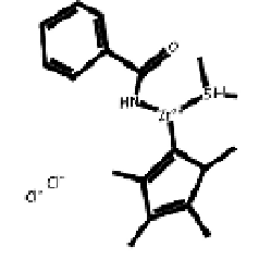 CC1=C(C)C(C)[C]([Zr+2]([NH]C(=O)c2ccccc2)[SiH](C)C)=C1C.[Cl-].[Cl-]